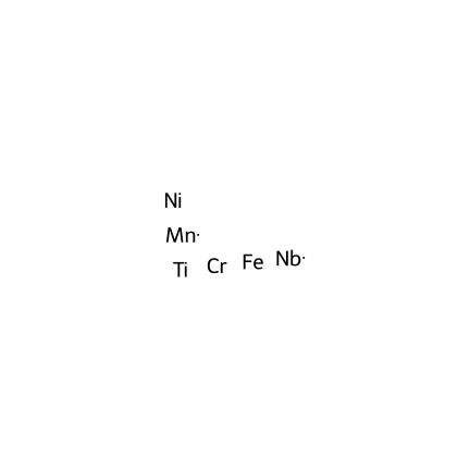 [Cr].[Fe].[Mn].[Nb].[Ni].[Ti]